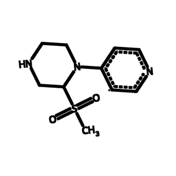 CS(=O)(=O)C1CNCCN1c1[c]cncc1